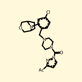 CC(=O)c1ccn(C(=O)N2CCN(Cc3ccc(Cl)cc3N3C4CCC3COC4)CC2)n1